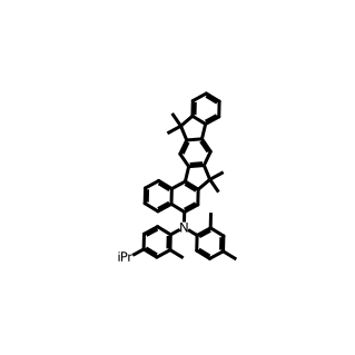 Cc1ccc(N(c2ccc(C(C)C)cc2C)c2cc3c(c4ccccc24)-c2cc4c(cc2C3(C)C)-c2ccccc2C4(C)C)c(C)c1